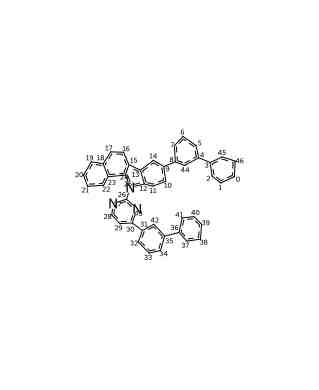 c1ccc(-c2cccc(-c3ccc4c(c3)c3ccc5ccccc5c3n4-c3nccc(-c4cccc(-c5ccccc5)c4)n3)c2)cc1